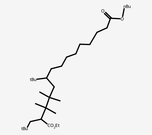 CCCCOC(=O)CCCCCCCCC(CC(C)(C)C(C)(C)C(CC(C)(C)C)C(=O)OCC)C(C)(C)C